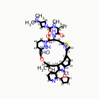 CCn1c(-c2cccnc2[C@@H]2CCCO2)c2c3cc(ccc31)-c1csc(n1)C[C@H](NC(=O)[C@H](C(C)C)N(C)C(=O)N1CC(N(C)C)C1)C(=O)N1CCC[C@](C=O)(COCC(C)(C)C2)N1